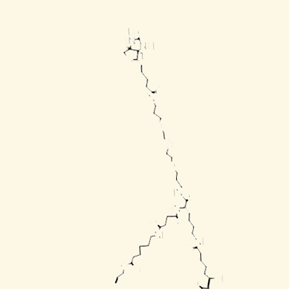 C=CCOC(=O)CCCCCNC(=O)CCC(=O)N[C@@H](CCCCNC(=O)CCCCC(O)=C1C(=O)CC(C)(C)CC1=O)C(=O)NCCCOCCOCCOCCCNC(=O)CCCC[C@@H]1SC[C@@H]2NC(=O)N[C@@H]21